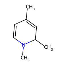 CC1=CC(C)N(C)C=C1